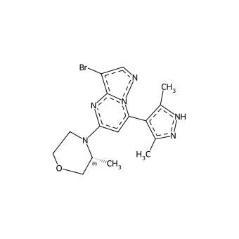 Cc1n[nH]c(C)c1-c1cc(N2CCOC[C@H]2C)nc2c(Br)cnn12